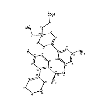 CNC[C@]1(CCC(=O)O)CC=C(c2cc(O[C@H](c3ccc(Cl)cc3C3=CCCOC3)C(F)(F)F)nc(N)n2)CC1